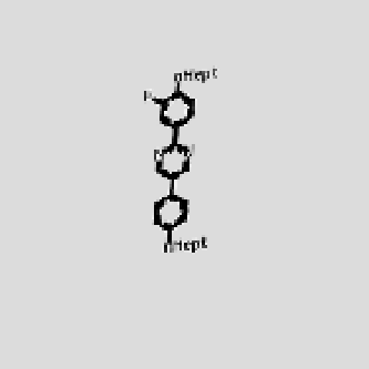 CCCCCCCc1ccc(-c2cnc(-c3ccc(CCCCCCC)c(F)c3)nc2)cc1